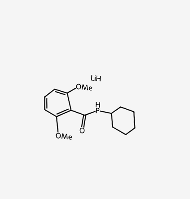 COc1cccc(OC)c1C(=O)PC1CCCCC1.[LiH]